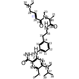 CCc1nc(C(N)=O)c(Nc2cccc(CCNC(=O)[C@H](C)N(C)C(=O)/C=C/CN(C)C)c2)nc1N(C)C(C)C